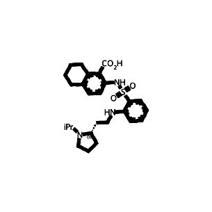 CC(C)N1CCC[C@H]1CCNc1ccccc1S(=O)(=O)Nc1ccc2c(c1C(=O)O)CCCC2